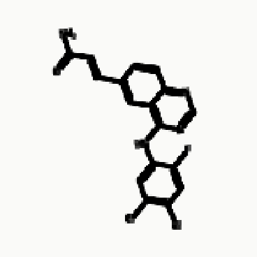 NC(=O)C=Cc1ccc2ncnc(Nc3cc(Cl)c(Cl)cc3F)c2c1